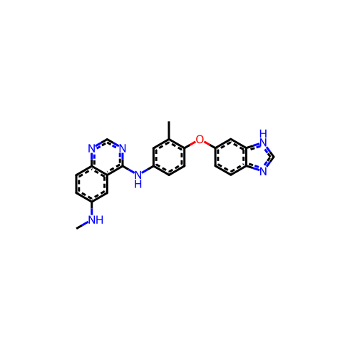 CNc1ccc2ncnc(Nc3ccc(Oc4ccc5nc[nH]c5c4)c(C)c3)c2c1